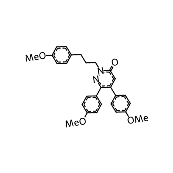 COc1ccc(CCCn2nc(-c3ccc(OC)cc3)c(-c3ccc(OC)cc3)cc2=O)cc1